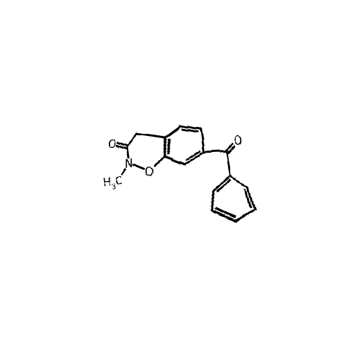 CN1Oc2cc(C(=O)c3ccccc3)ccc2CC1=O